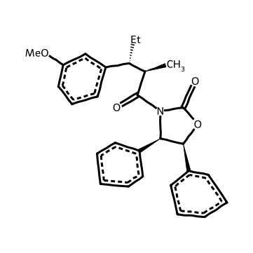 CC[C@@H](c1cccc(OC)c1)[C@@H](C)C(=O)N1C(=O)O[C@@H](c2ccccc2)[C@H]1c1ccccc1